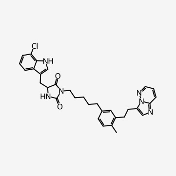 Cc1ccc(CCCCCN2C(=O)NC(Cc3c[nH]c4c(Cl)cccc34)C2=O)cc1CCc1cnc2cccnn12